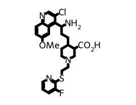 COc1ccc2ncc(Cl)c(C(N)CCC3CCN(CCSc4ncccc4F)CC3C(=O)O)c2c1